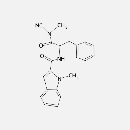 CN(C#N)C(=O)C(Cc1ccccc1)NC(=O)c1cc2ccccc2n1C